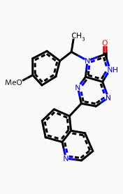 COc1ccc(C(C)n2c(=O)[nH]c3ncc(-c4cccc5ncccc45)nc32)cc1